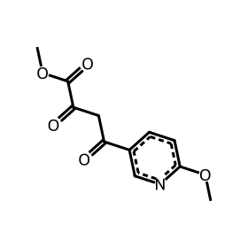 COC(=O)C(=O)CC(=O)c1ccc(OC)nc1